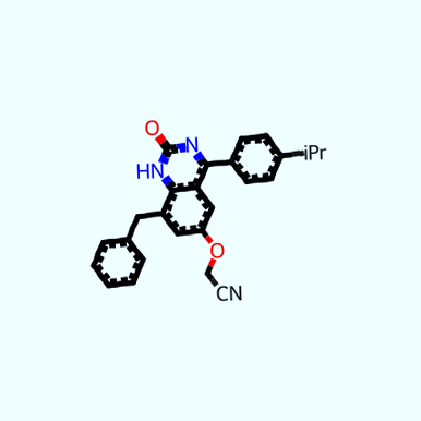 CC(C)c1ccc(-c2nc(=O)[nH]c3c(Cc4ccccc4)cc(OCC#N)cc23)cc1